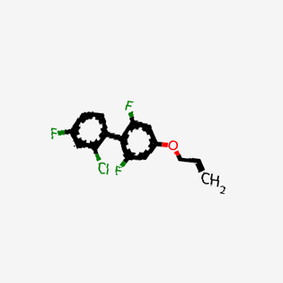 C=CCOc1cc(F)c(-c2ccc(F)[c]c2Cl)c(F)c1